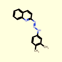 Cc1ccc(NN=Nc2ccc3ccccc3n2)cc1C